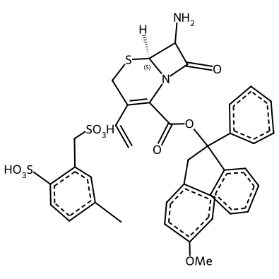 C=CC1=C(C(=O)OC(Cc2ccc(OC)cc2)(c2ccccc2)c2ccccc2)N2C(=O)C(N)[C@@H]2SC1.Cc1ccc(S(=O)(=O)O)c(CS(=O)(=O)O)c1